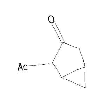 CC(=O)C1C(=O)CC2CC21